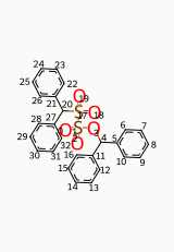 O=S(=O)(OC(c1ccccc1)c1ccccc1)S(=O)(=O)C(c1ccccc1)c1ccccc1